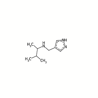 CC(C)C(C)NCc1cn[nH]c1